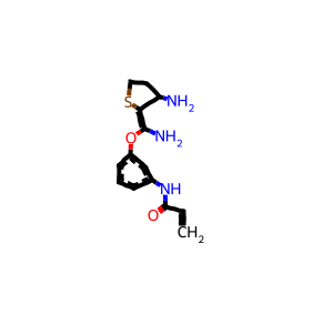 C=CC(=O)Nc1cccc(O/C(N)=C2\SCCC2N)c1